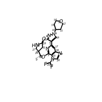 C[C@@H](Oc1nc(-c2cnn(C3CCOCC3)c2)cc2ncn(C(F)F)c12)[C@H]1CNC(=O)C1